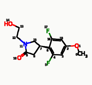 COc1cc(F)c([C@H]2CC(=O)N(CCO)C2)c(F)c1